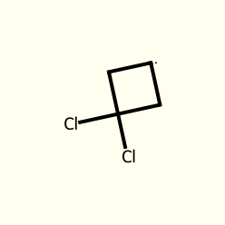 ClC1(Cl)C[CH]C1